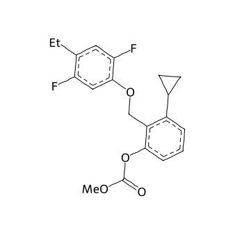 CCc1cc(F)c(OCc2c(OC(=O)OC)cccc2C2CC2)cc1F